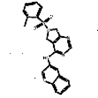 Cc1ccccc1S(=O)(=O)N1Cc2ncnc(Nc3cnc4ccccc4c3)c2C1